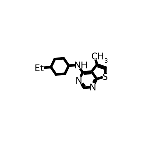 CCC1CCC(Nc2ncnc3scc(C)c23)CC1